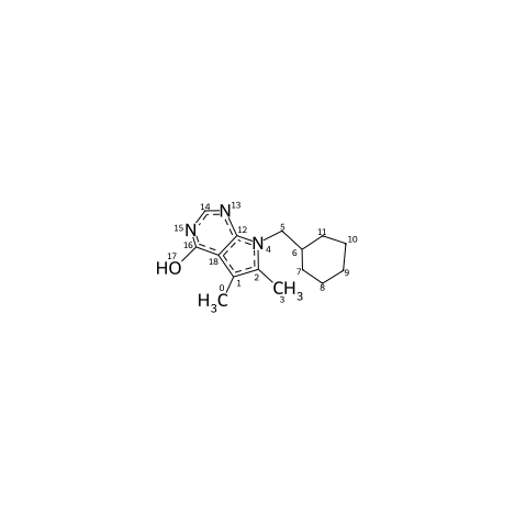 Cc1c(C)n(CC2CCCCC2)c2ncnc(O)c12